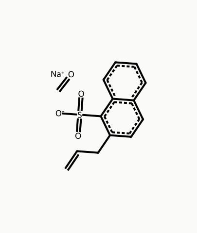 C=CCc1ccc2ccccc2c1S(=O)(=O)[O-].C=O.[Na+]